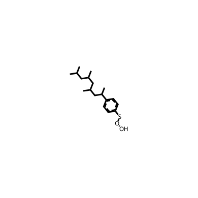 CC(C)CC(C)CC(C)CC(C)c1ccc(SOO)cc1